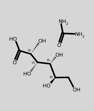 NC(N)=O.O=C(O)[C@H](O)[C@@H](O)[C@H](O)[C@H](O)CO